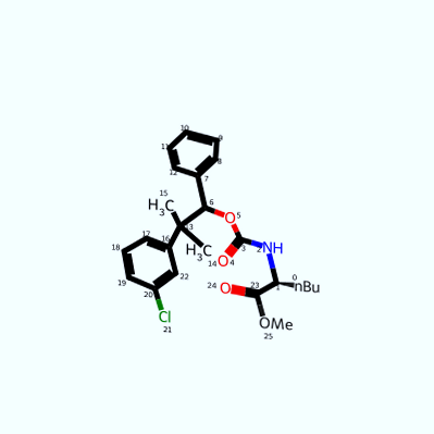 CCCC[C@H](NC(=O)OC(c1ccccc1)C(C)(C)c1cccc(Cl)c1)C(=O)OC